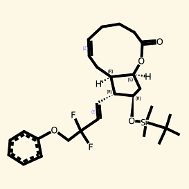 CC(C)(C)[Si](C)(C)O[C@@H]1C[C@@H]2OC(=O)CCC/C=C\C[C@@H]2[C@H]1/C=C/C(F)(F)COc1ccccc1